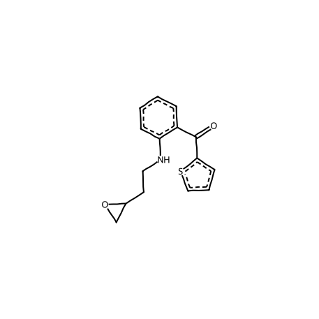 O=C(c1cccs1)c1ccccc1NCCC1CO1